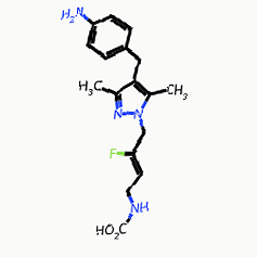 Cc1nn(C/C(F)=C/CNC(=O)O)c(C)c1Cc1ccc(N)cc1